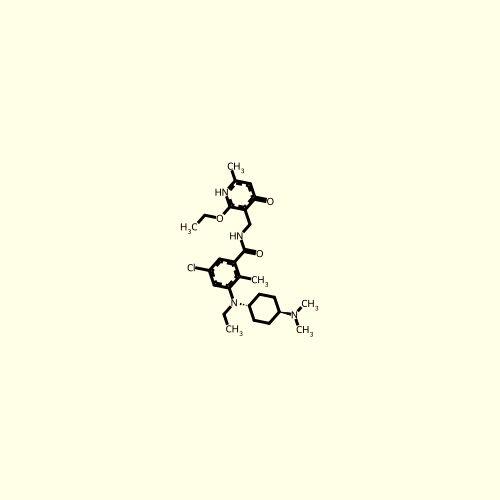 CCOc1[nH]c(C)cc(=O)c1CNC(=O)c1cc(Cl)cc(N(CC)[C@H]2CC[C@H](N(C)C)CC2)c1C